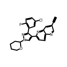 C#Cc1cnc2ccc(-c3cn(C4CCCCO4)nc3-c3cc(Cl)ccc3F)nc2c1